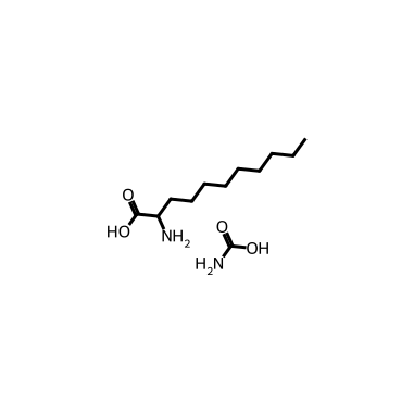 CCCCCCCCCC(N)C(=O)O.NC(=O)O